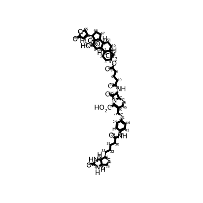 C[C@]12CC[C@H](OC(=O)CCCC(=O)NC3C(=O)N4C(C(=O)O)=C(CSc5ccc(NC(=O)CCCC[C@H]6SC[C@H]7NC(=O)N[C@H]76)cc5)CSC34)C[C@H]1CC[C@@H]1[C@@H]2C[C@@H](O)[C@]2(C)[C@@H](C3=CC(=O)OC3)CC[C@]12O